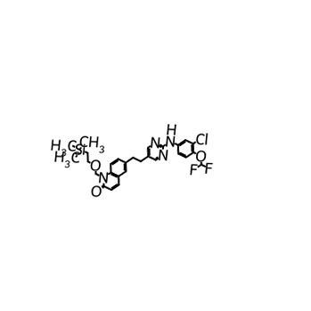 C[Si](C)(C)CCOCn1c(=O)ccc2cc(CCc3cnc(Nc4ccc(OC(F)F)c(Cl)c4)nc3)ccc21